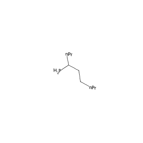 CCCCCC(P)CCC